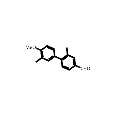 COc1ccc(-c2ccc(C=O)cc2C)cc1C